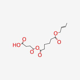 CC=CCOC(=O)CCCCC(=O)OC(=O)CCC(=O)O